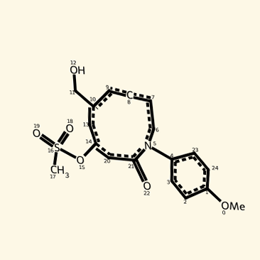 COc1ccc(-n2ccccc(CO)cc(OS(C)(=O)=O)cc2=O)cc1